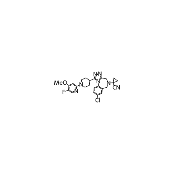 COc1cc(N2CCC(c3nnc4n3-c3ccc(Cl)cc3CN(C3(C#N)CC3)C4)CC2)ncc1F